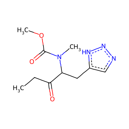 CCC(=O)C(Cc1cnn[nH]1)N(C)C(=O)OC